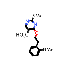 CNc1ccccc1CCOc1nc(SC)ncc1C(=O)O